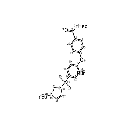 Br.CCCCCCC(=O)c1ccc(Oc2ccc(C(C)(C)N3C=CN(CCCC)C3)cc2)cc1